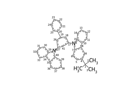 CC(C)(C)c1ccc2c(c1)c1ccccc1n2-c1cc(-c2ccccc2)cc(-n2c3ccccc3c3ccccc32)c1